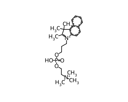 CC1=[N+](CCCOP(=O)(O)OCC[N+](C)(C)C)c2ccc3ccccc3c2C1(C)C